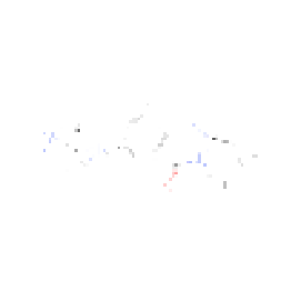 CCc1nc2ccc(N3CCN4CCC3CC4)cc2c(=O)n1C